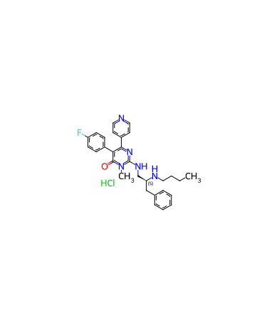 CCCCN[C@H](CNc1nc(-c2ccncc2)c(-c2ccc(F)cc2)c(=O)n1C)Cc1ccccc1.Cl